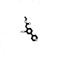 CCOC(=O)Cc1ccc(-c2ccncc2)cc1O